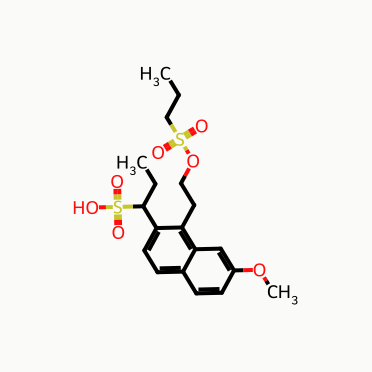 CCCS(=O)(=O)OCCc1c(C(CC)S(=O)(=O)O)ccc2ccc(OC)cc12